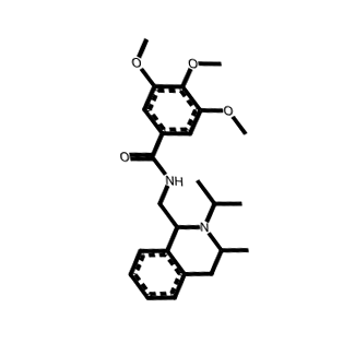 COc1cc(C(=O)NCC2c3ccccc3CC(C)N2C(C)C)cc(OC)c1OC